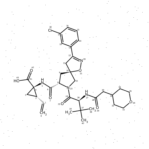 C=C[C@@H]1C[C@]1(NC(=O)[C@@H]1C[C@]2(CC(c3cccc(Cl)c3)=NO2)CN1C(=O)[C@@H](NC(=O)CC1CCOCC1)C(C)(C)C)C(=O)O